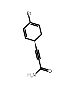 CCC1=CC[C@@H](C#CC(N)=O)C=C1